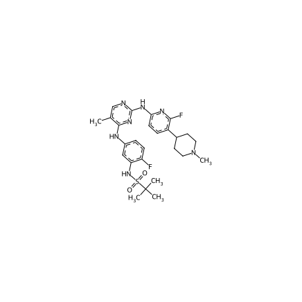 Cc1cnc(Nc2ccc(C3CCN(C)CC3)c(F)n2)nc1Nc1ccc(F)c(NS(=O)(=O)C(C)(C)C)c1